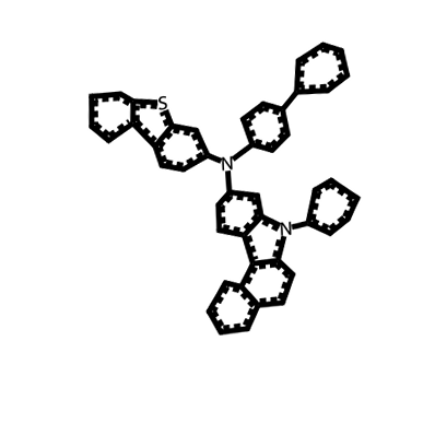 c1ccc(-c2ccc(N(c3ccc4c(c3)sc3ccccc34)c3ccc4c5c6ccccc6ccc5n(-c5ccccc5)c4c3)cc2)cc1